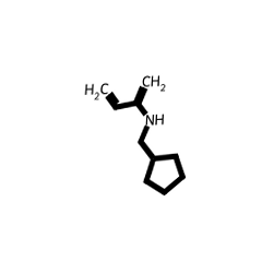 C=CC(=C)NCC1CCCC1